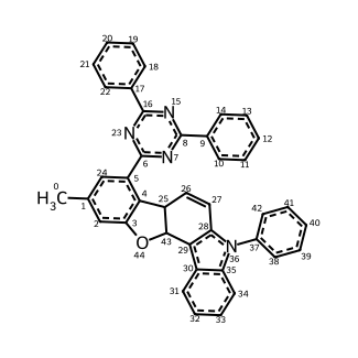 Cc1cc2c(c(-c3nc(-c4ccccc4)nc(-c4ccccc4)n3)c1)C1C=Cc3c(c4ccccc4n3-c3ccccc3)C1O2